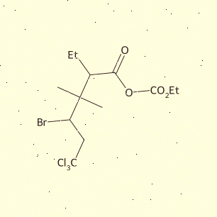 CCOC(=O)OC(=O)C(CC)C(C)(C)C(Br)CC(Cl)(Cl)Cl